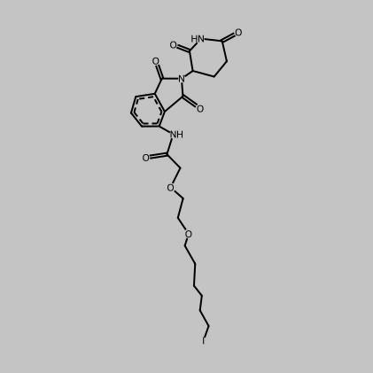 O=C1CCC(N2C(=O)c3cccc(NC(=O)COCCOCCCCCCI)c3C2=O)C(=O)N1